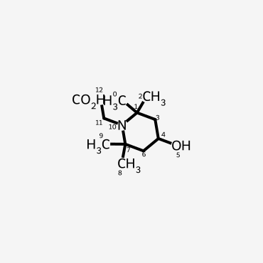 CC1(C)CC(O)CC(C)(C)N1CC(=O)O